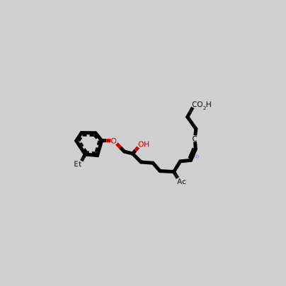 CCc1cccc(OCC(O)CCCC(C/C=C\CCCC(=O)O)C(C)=O)c1